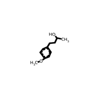 COc1ccc(CCC(C)O)cc1